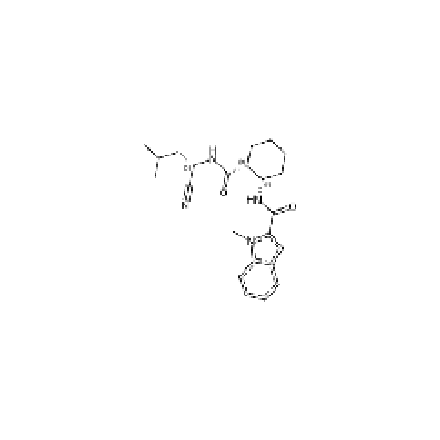 CC(C)C[C@@H](C#N)NC(=O)[C@@H]1CCCC[C@@H]1NC(=O)c1cc2ccccc2n1C